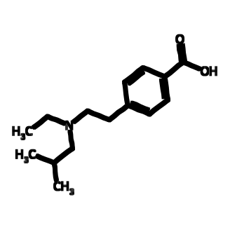 CCN(CCc1ccc(C(=O)O)cc1)CC(C)C